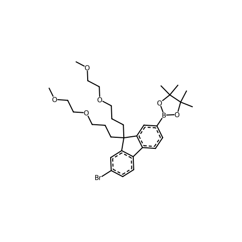 COCCOCCCC1(CCCOCCOC)c2cc(Br)ccc2-c2ccc(B3OC(C)(C)C(C)(C)O3)cc21